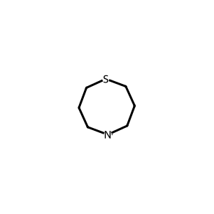 C1C[N]CCCSC1